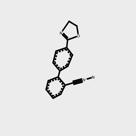 [N][N+]#Cc1ccccc1-c1ccc(C2=NCCO2)cc1